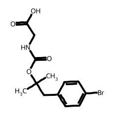 CC(C)(Cc1ccc(Br)cc1)OC(=O)NCC(=O)O